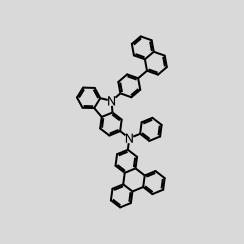 c1ccc(N(c2ccc3c4ccccc4c4ccccc4c3c2)c2ccc3c4ccccc4n(-c4ccc(-c5cccc6ccccc56)cc4)c3c2)cc1